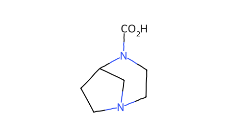 O=C(O)N1CCN2CCC1C2